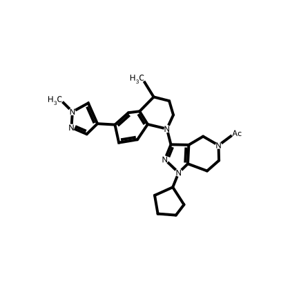 CC(=O)N1CCc2c(c(N3CCC(C)c4cc(-c5cnn(C)c5)ccc43)nn2C2CCCC2)C1